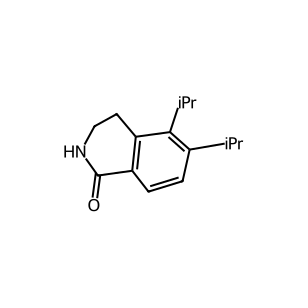 CC(C)c1ccc2c(c1C(C)C)CCNC2=O